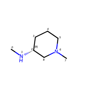 CN[C@@H]1CCCN(C)C1